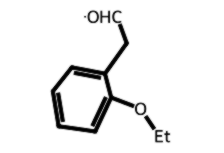 CCOc1ccccc1C[C]=O